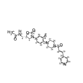 CC(=O)NC[C@H]1CN(c2ccc(N3CCN(C(=O)C=Cc4ccncc4)CC3)c(F)c2)C(=O)O1